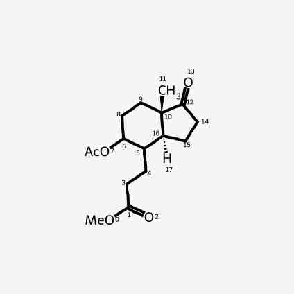 COC(=O)CCC1C(OC(C)=O)CC[C@]2(C)C(=O)CC[C@@H]12